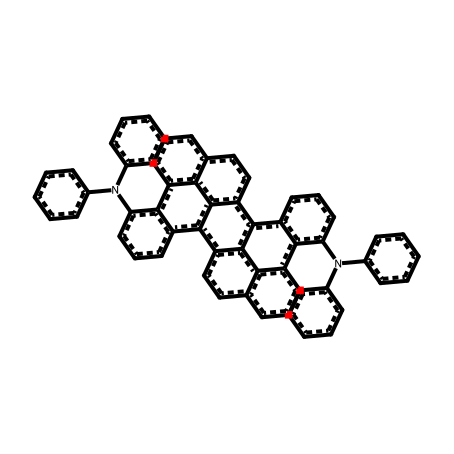 c1ccc(N(c2ccccc2)c2cccc3c2c2cccc4ccc5c6c7cccc(N(c8ccccc8)c8ccccc8)c7c7cccc8ccc(c3c5c42)c6c87)cc1